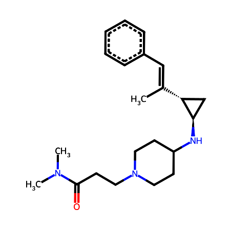 C/C(=C\c1ccccc1)[C@@H]1C[C@H]1NC1CCN(CCC(=O)N(C)C)CC1